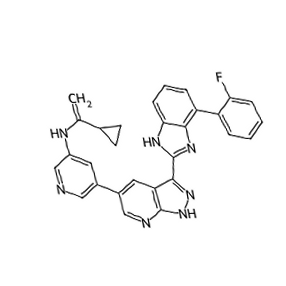 C=C(Nc1cncc(-c2cnc3[nH]nc(-c4nc5c(-c6ccccc6F)cccc5[nH]4)c3c2)c1)C1CC1